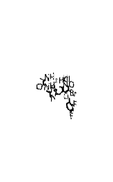 Cc1[nH]c(=O)c(Br)c(OCc2ccc(F)cc2F)c1Cc1cnc(CNC(=O)[C@@H](C)N)cn1.Cl